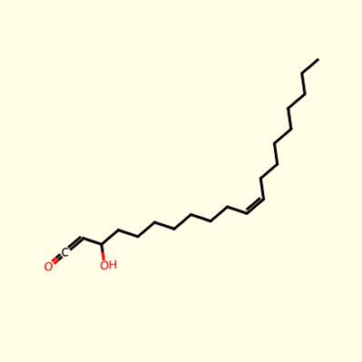 CCCCCCCC/C=C\CCCCCCCC(O)C=C=O